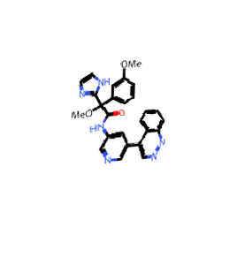 COc1cccc(C(OC)(C(=O)Nc2cncc(-c3cnnc4ccccc34)c2)c2ncc[nH]2)c1